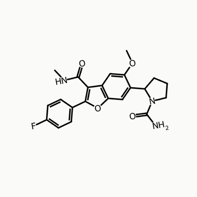 CNC(=O)c1c(-c2ccc(F)cc2)oc2cc(C3CCCN3C(N)=O)c(OC)cc12